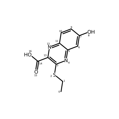 CCSc1nc2cc(O)ccc2nc1C(=O)O